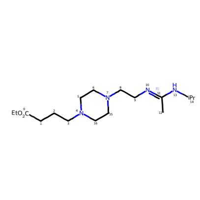 CCOC(=O)CCCN1CCN(CC/N=C(\C)NC(C)C)CC1